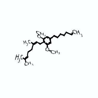 CCCCCCCc1cc(OC)c(CC=C(C)CCC=C(C)C)c(OC)c1